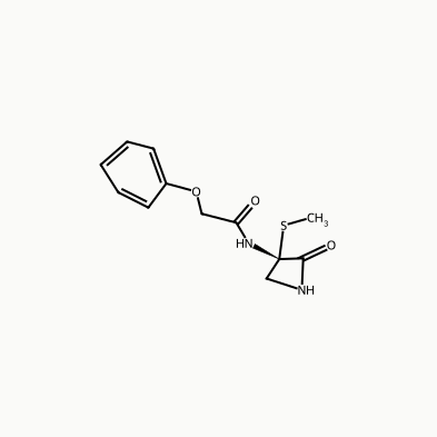 CS[C@@]1(NC(=O)COc2ccccc2)CNC1=O